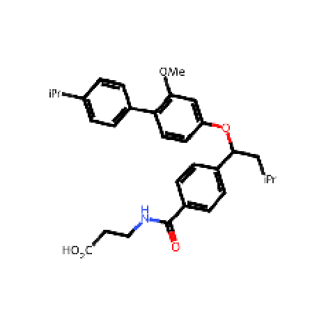 COc1cc(OC(CC(C)C)c2ccc(C(=O)NCCC(=O)O)cc2)ccc1-c1ccc(C(C)C)cc1